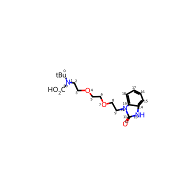 CC(C)(C)N(CCOCCOCCn1c(=O)[nH]c2ccccc21)C(=O)O